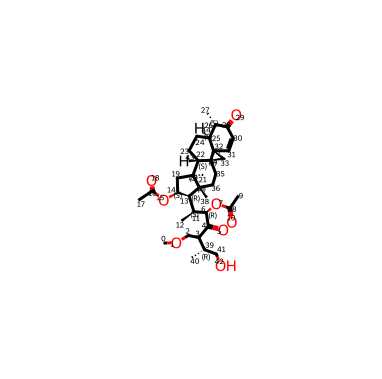 COCC(C(=O)[C@H](OC(C)=O)[C@@H](C)[C@H]1[C@@H](OC(C)=O)C[C@@]2(C)[C@@H]3CC[C@H]4[C@H](C)C(=O)C=C[C@@]45C[C@@]35CC[C@]12C)[C@@H](C)CO